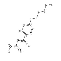 CCCCCCc1ccc(C(=O)CC(=O)OC)cc1